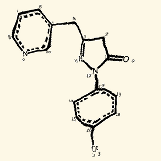 O=C1CC(Cc2cccnc2)=NN1c1ccc(C(F)(F)F)cc1